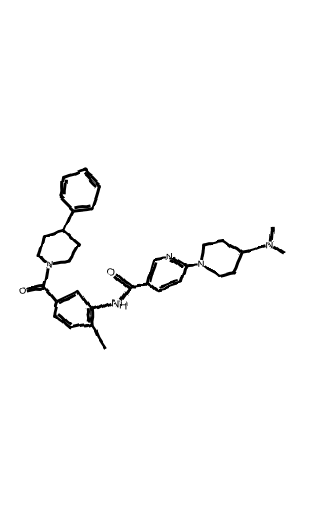 Cc1ccc(C(=O)N2CCC(c3ccccc3)CC2)cc1NC(=O)c1ccc(N2CCC(N(C)C)CC2)nc1